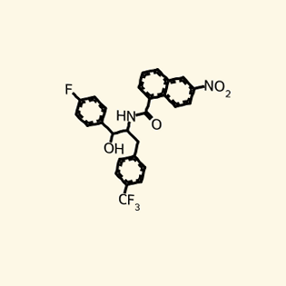 O=C(NC(Cc1ccc(C(F)(F)F)cc1)C(O)c1ccc(F)cc1)c1cccc2cc([N+](=O)[O-])ccc12